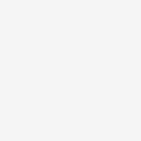 COc1ccccc1-n1c(NSCCc2ccc(Cl)cc2)nnc1-c1ccco1